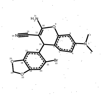 CN(C)c1ccc2c(c1)OC(N)=C(C#N)C2c1cc2c(cc1Br)OCO2